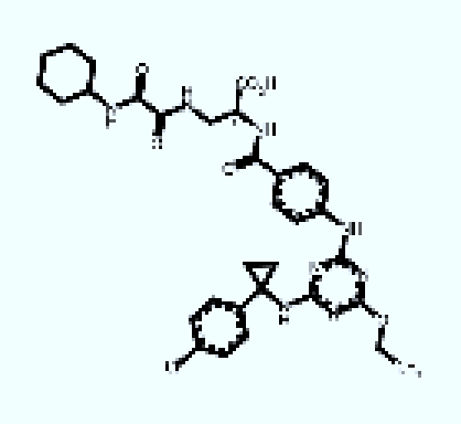 O=C(NC[C@H](NC(=O)c1ccc(Nc2nc(NC3(c4ccc(Cl)cc4)CC3)nc(OCC(F)(F)F)n2)cc1)C(=O)O)C(=O)NC1CCCCC1